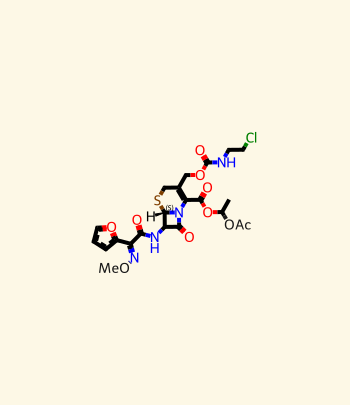 CON=C(C(=O)NC1C(=O)N2C(C(=O)OC(C)OC(C)=O)=C(COC(=O)NCCCl)CS[C@@H]12)c1ccco1